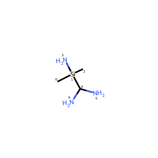 C[Si](C)(N)C(N)N